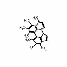 Cc1c(C)c2c3c(c1C)-c1c(C)c(C)c(C)c4c1B(C=CN4C)C3C=C2